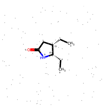 CC[C@H]1CC(=O)N[C@H]1CC